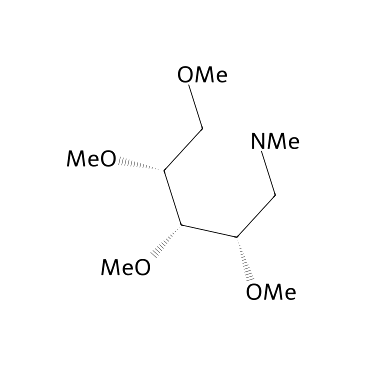 CNC[C@H](OC)[C@H](OC)[C@@H](COC)OC